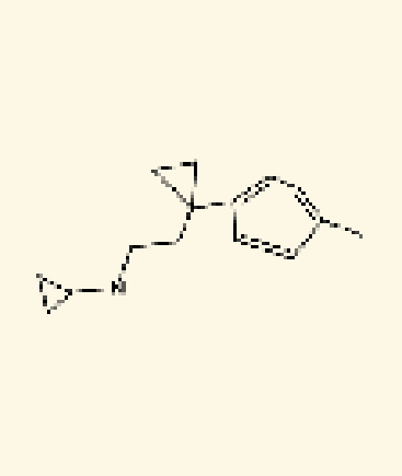 Cc1ccc(C2(CCNC3CC3)CC2)cc1